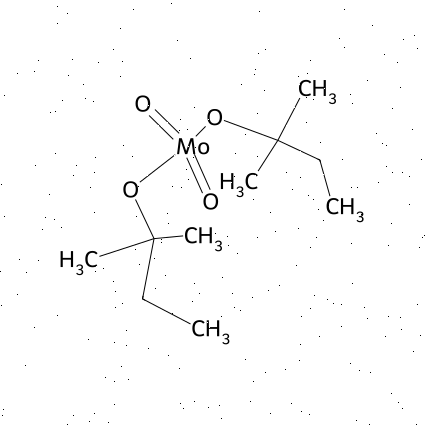 CCC(C)(C)[O][Mo](=[O])(=[O])[O]C(C)(C)CC